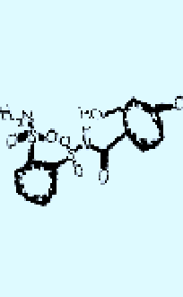 NS(=O)(=O)c1ccccc1S(=O)(=O)NC(=O)c1ccc(Cl)cc1O